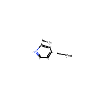 CC(C)=O.CCCCCC.c1ccncc1